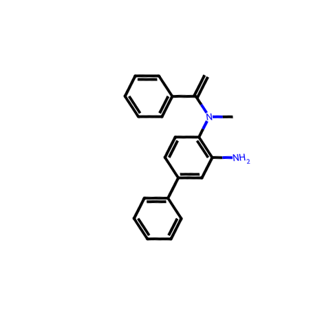 C=C(c1ccccc1)N(C)c1ccc(-c2ccccc2)cc1N